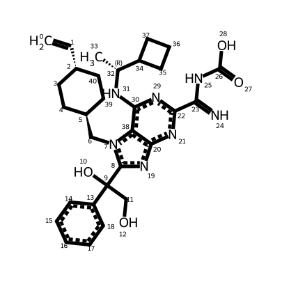 C=C[C@H]1CC[C@H](Cn2c(C(O)(CO)c3ccccc3)nc3nc(C(=N)NC(=O)O)nc(N[C@H](C)C4CCC4)c32)CC1